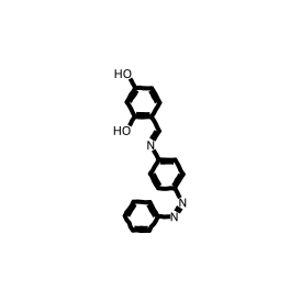 Oc1ccc(/C=N/c2ccc(/N=N\c3ccccc3)cc2)c(O)c1